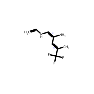 C=CN/C=C(N)\C=C(/C)C(F)(F)F